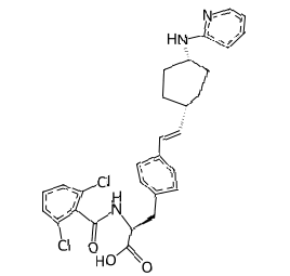 O=C(N[C@@H](Cc1ccc(/C=C/[C@H]2CC[C@@H](Nc3ccccn3)CC2)cc1)C(=O)O)c1c(Cl)cccc1Cl